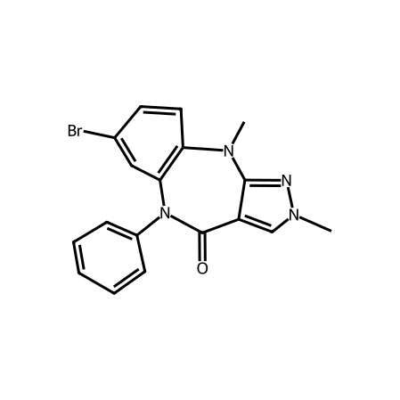 CN1c2ccc(Br)cc2N(c2ccccc2)C(=O)c2cn(C)nc21